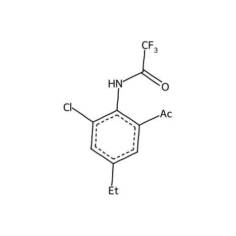 CCc1cc(Cl)c(NC(=O)C(F)(F)F)c(C(C)=O)c1